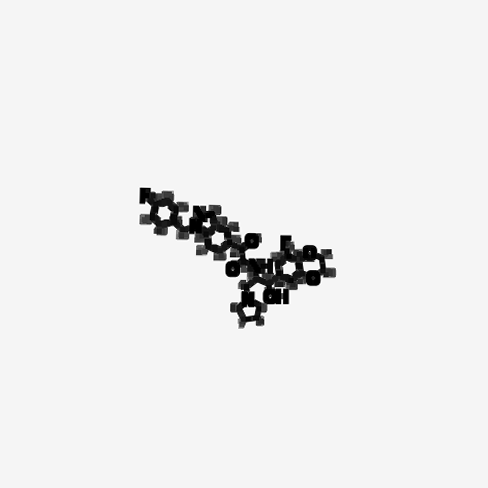 O=C(NC(CN1CCCC1)C(O)c1cc(F)c2c(c1)OCCO2)C(=O)c1ccc2c(cnn2Cc2ccc(F)cc2)c1